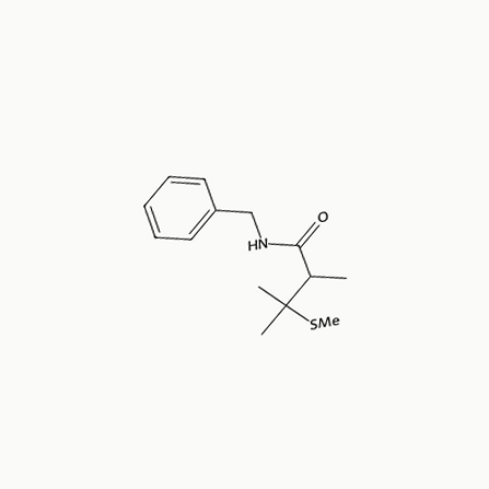 CSC(C)(C)C(C)C(=O)NCc1ccccc1